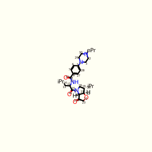 CCCN1CCN(c2ccc(C(=O)NC(CC(C)C)C(=O)N3C[C@H](C(C)C)[C@H]4OCC(=O)[C@H]43)cc2)CC1